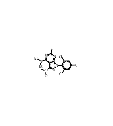 CCN(CC)c1nc(C)nc2c1c([S+](C)[O-])nn2-c1c(Cl)cc(Cl)cc1Cl